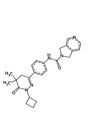 CC1(C)CC(c2ccc(NC(=O)N3Cc4ccncc4C3)cc2)=NN(C2CCC2)C1=O